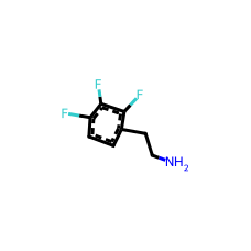 NCCc1ccc(F)c(F)c1F